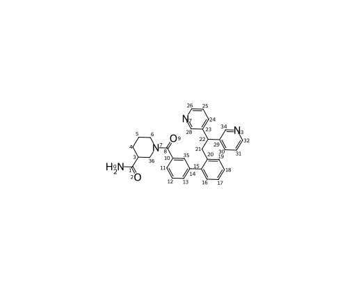 NC(=O)C1CCCN(C(=O)c2cccc(-c3ccccc3CC(c3cccnc3)c3cccnc3)c2)C1